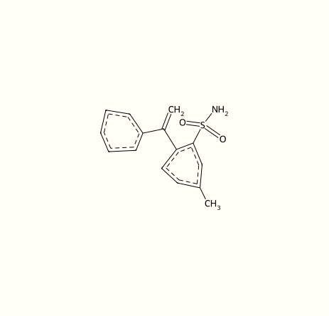 C=C(c1ccccc1)c1ccc(C)cc1S(N)(=O)=O